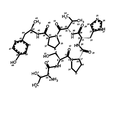 CC(O)[C@H](N)C(=O)N[C@@H](CO)C(=O)N1CCC[C@H]1C(=O)N[C@@H](Cc1cnc[nH]1)C(=O)N[C@H](C(=O)N1CCC[C@H]1C(=O)N[C@H](C)Cc1ccc(O)cc1)C(C)C